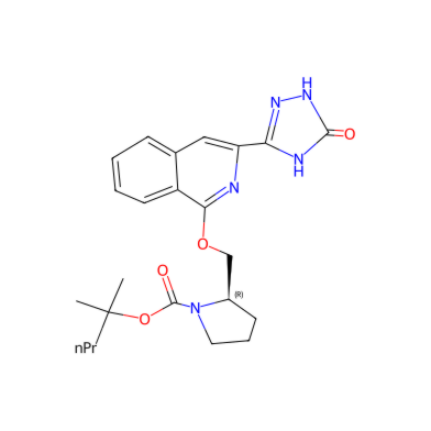 CCCC(C)(C)OC(=O)N1CCC[C@@H]1COc1nc(-c2n[nH]c(=O)[nH]2)cc2ccccc12